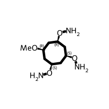 CO[C@H]1C[C@@H](ON)C[C@@H](ON)C[C@@H](ON)C1